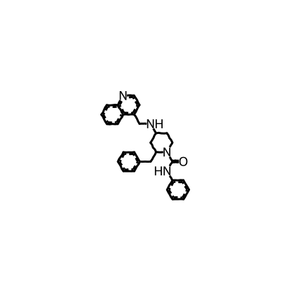 O=C(Nc1ccccc1)N1CCC(NCc2ccnc3ccccc23)CC1Cc1ccccc1